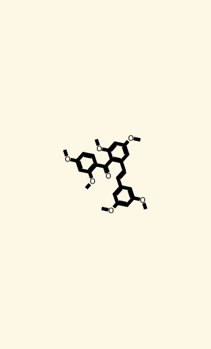 COc1cc(/C=C/c2cc(OC)cc(OC)c2C(=O)c2ccc(OC)cc2OC)cc(OC)c1